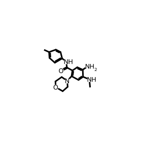 CNc1cc(N2CCOCC2)c(C(=O)Nc2ccc(C)cc2)cc1N